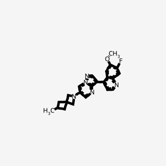 COc1cc2c(-c3cnn4cc(N5CC6(CC(C)C6)C5)cnc34)ccnc2cc1F